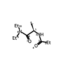 [CH2][C@@H](NC(=O)CC)C(=O)N(CC)CC